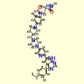 CCc1ccc(-c2ncnc3[nH]c(-c4ccc(N5CCN(CC6CCN(c7ccc(N(C=O)CCC(=O)NC)c(C)c7)CC6)CC5)cn4)cc23)cc1C